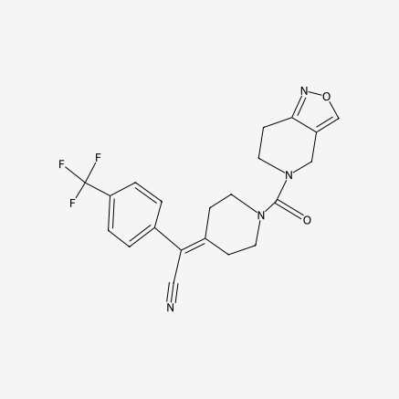 N#CC(=C1CCN(C(=O)N2CCc3nocc3C2)CC1)c1ccc(C(F)(F)F)cc1